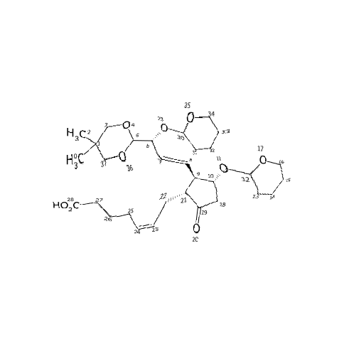 CC1(C)COC([C@@H](/C=C/[C@H]2[C@H](OC3CCCCO3)CC(=O)[C@@H]2C/C=C\CCCC(=O)O)OC2CCCCO2)OC1